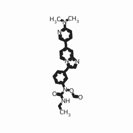 CCNC(=O)N(OC=O)c1cccc(-c2cnc3cc(-c4ccc(N(C)C)nc4)ccn23)c1